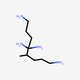 CC(CCCN)C(N)(N)CCCN